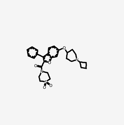 O=C(c1oc2cc(OC3CCN(C4CCC4)CC3)ccc2c1-c1ccccc1)N1CCS(=O)(=O)CC1